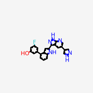 Oc1cc(F)cc(-c2cccc3[nH]c(-c4n[nH]c5ncc(-c6cn[nH]c6)cc45)cc23)c1